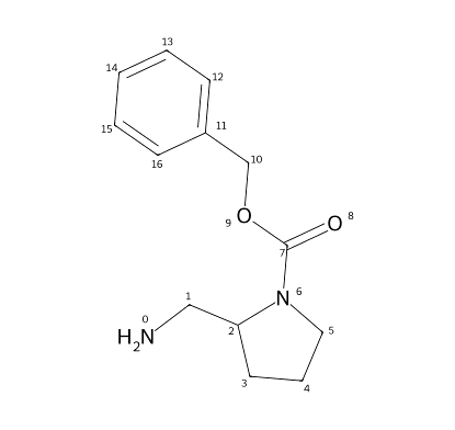 NCC1CCCN1C(=O)OCc1ccccc1